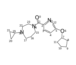 O=C(c1ccc(OC2CCCC2)cn1)N1CCCN(C2CC2)CC1